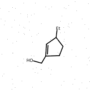 CCC1C=C(CO)CC1